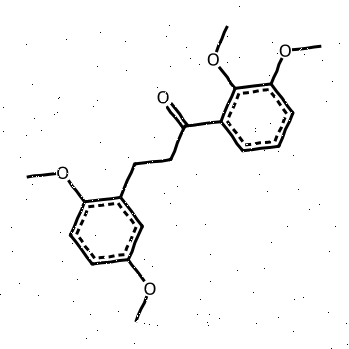 COc1ccc(OC)c(CCC(=O)c2cccc(OC)c2OC)c1